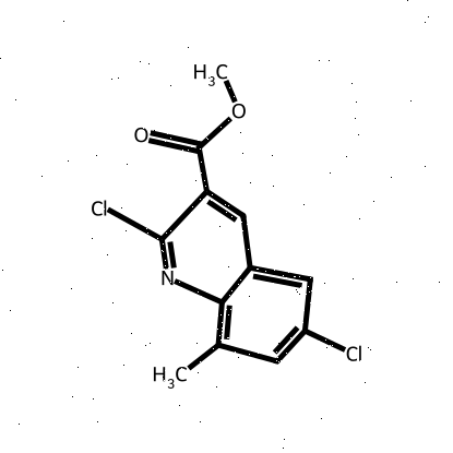 COC(=O)c1cc2cc(Cl)cc(C)c2nc1Cl